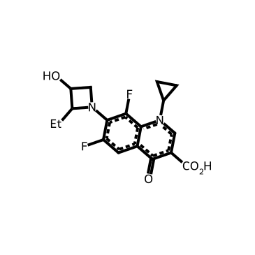 CCC1C(O)CN1c1c(F)cc2c(=O)c(C(=O)O)cn(C3CC3)c2c1F